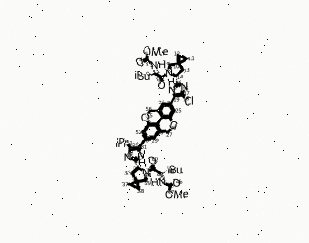 CC[C@H](C)[C@H](NC(=O)OC)C(=O)N1CC2(CC2)C[C@@H]1c1nc(Cl)c(-c2cc3c4c(c2)OCc2cc(-c5[nH]c([C@H]6CC7(CC7)CN6C(=O)[C@@H](NC(=O)OC)[C@@H](C)CC)nc5C(C)C)cc(c2-4)OC3)[nH]1